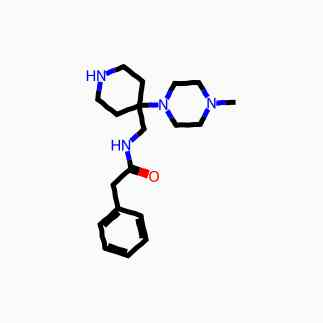 CN1CCN(C2(CNC(=O)Cc3ccccc3)CCNCC2)CC1